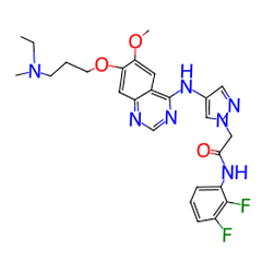 CCN(C)CCCOc1cc2ncnc(Nc3cnn(CC(=O)Nc4cccc(F)c4F)c3)c2cc1OC